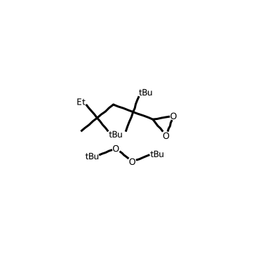 CC(C)(C)OOC(C)(C)C.CCC(C)(CC(C)(C1OO1)C(C)(C)C)C(C)(C)C